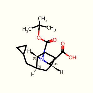 CC(C)(C)OC(=O)N1C(C(=O)O)[C@@H]2CC[C@H]1[C@H](CC1CC1)C2